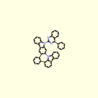 c1ccc(-c2nc(-n3c4ccccc4c4cc5c(cc43)-n3c4ccccc4c4cccc(c43)-c3ccccc3-5)nc3ccccc23)cc1